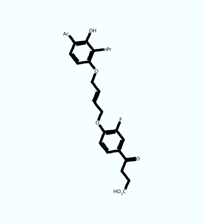 CCCc1c(OCC=CCOc2ccc(C(=O)CCC(=O)O)cc2F)ccc(C(C)=O)c1O